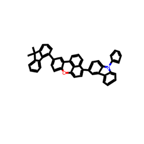 CC1(C)c2ccccc2-c2c(-c3ccc4c(c3)-c3cccc5c(-c6ccc7c(c6)c6ccccc6n7-c6ccccc6)ccc(c35)O4)cccc21